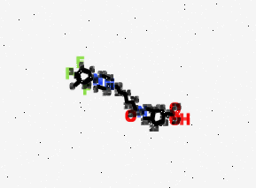 Cc1c(F)c(F)cc(N2CCN(CCCCCC(=O)N3Cc4ccc(C(=O)O)cc4C3)CC2)c1F